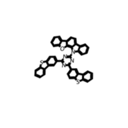 c1ccc2c(c1)oc1c2ccc2c3ccccc3n(-c3nc(-c4ccc5sc6ccccc6c5c4)nc(-c4ccc5sc6ccccc6c5c4)n3)c21